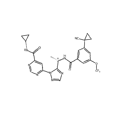 C[C@H](NC(=O)c1cc(OC(F)(F)F)cc(C2(C#N)CC2)c1)c1ncnn1-c1cc(C(=O)NC2CC2)ncn1